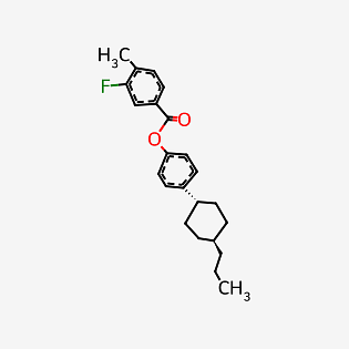 CCC[C@H]1CC[C@H](c2ccc(OC(=O)c3ccc(C)c(F)c3)cc2)CC1